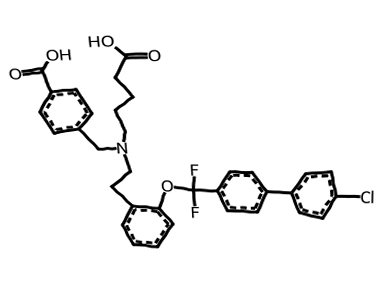 O=C(O)CCCCN(CCc1ccccc1OC(F)(F)c1ccc(-c2ccc(Cl)cc2)cc1)Cc1ccc(C(=O)O)cc1